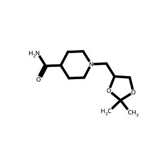 CC1(C)OCC(CN2CCC(C(N)=O)CC2)O1